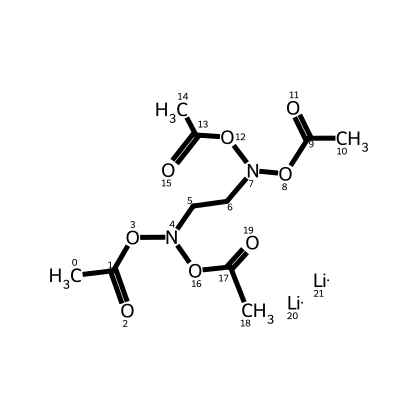 CC(=O)ON(CCN(OC(C)=O)OC(C)=O)OC(C)=O.[Li].[Li]